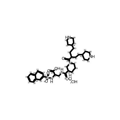 Cl.Cl.O=C(NCC(NS(=O)(=O)c1ccc2ccccc2c1)C(=O)O)C1CCCN(C(=O)C(CCC2CCNCC2)CCC2CCNCC2)C1